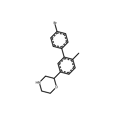 Cc1ccc(C2CNCCO2)cc1-c1ccc(Br)cc1